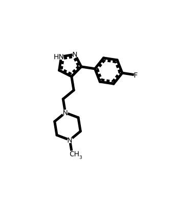 CN1CCN(CCc2c[nH]nc2-c2ccc(F)cc2)CC1